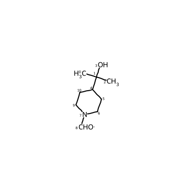 CC(C)(O)C1CCN([C]=O)CC1